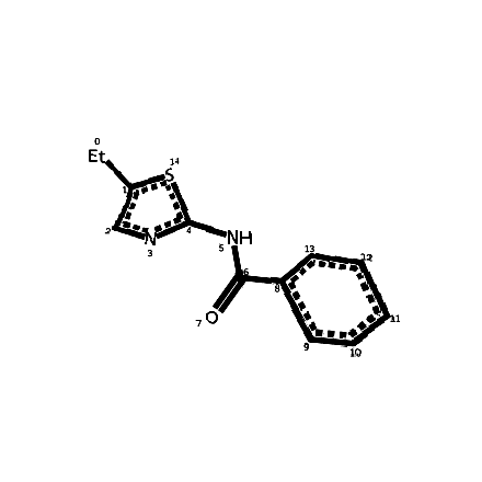 CCc1cnc(NC(=O)c2ccccc2)s1